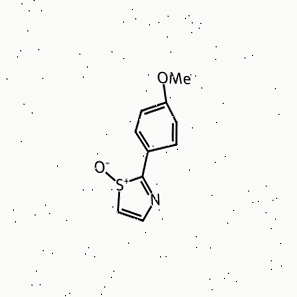 COc1ccc(-c2ncc[s+]2[O-])cc1